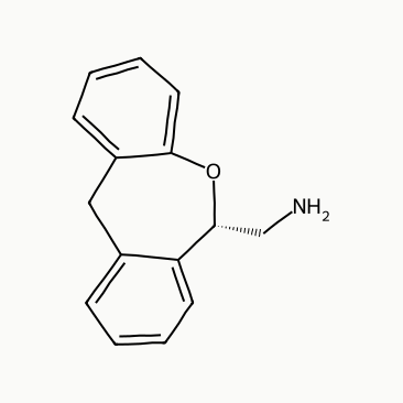 NC[C@H]1Oc2ccccc2Cc2ccccc21